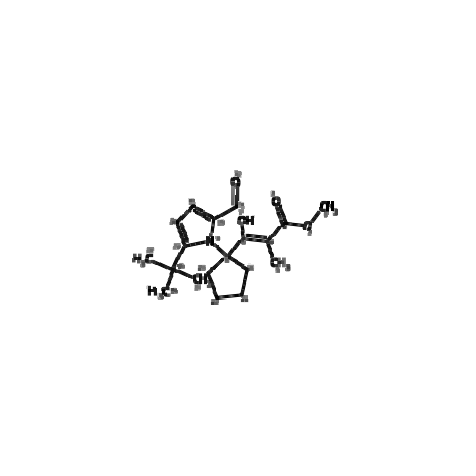 COC(=O)/C(C)=C(\O)C1(n2c(C=O)ccc2C(C)(C)C)CCCC1